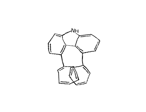 c1ccc(-c2cccc3[nH]c4cccc(-c5ccccc5)c4c23)cc1